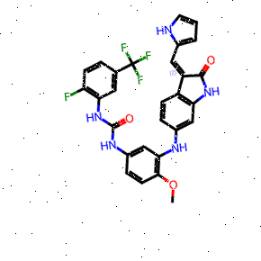 COc1ccc(NC(=O)Nc2cc(C(F)(F)F)ccc2F)cc1Nc1ccc2c(c1)NC(=O)/C2=C\c1ccc[nH]1